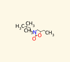 CCC1CN(CCC(C)(C)C)C(=O)O1